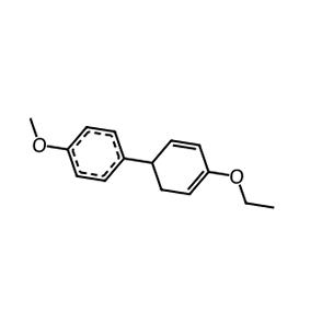 CCOC1=CCC(c2ccc(OC)cc2)C=C1